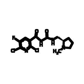 CN1CCC[C@H]1CNC(=O)NC(=O)c1cc(F)c(Cl)nc1Cl